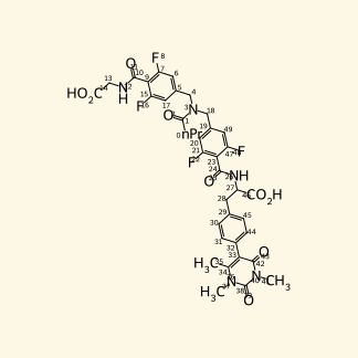 CCCC(=O)N(Cc1cc(F)c(C(=O)NCC(=O)O)c(F)c1)Cc1cc(F)c(C(=O)NC(Cc2ccc(-c3c(C)n(C)c(=O)n(C)c3=O)cc2)C(=O)O)c(F)c1